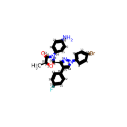 C[C@@H]1O[C@H](c2nn(-c3ccc(Br)cc3)cc2-c2ccc(F)cc2)N(c2ccc(N)cc2)C1=O